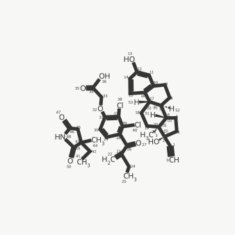 C#C[C@]1(O)CC[C@H]2[C@@H]3CCc4cc(O)ccc4[C@H]3CC[C@@]21C.C=C(CC)C(=O)c1ccc(OCC(=O)O)c(Cl)c1Cl.CCC1(C)CC(=O)NC1=O